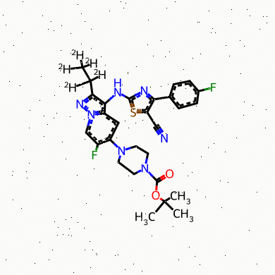 [2H]C([2H])([2H])C([2H])([2H])c1nn2cc(F)c(N3CCN(C(=O)OC(C)(C)C)CC3)cc2c1Nc1nc(-c2ccc(F)cc2)c(C#N)s1